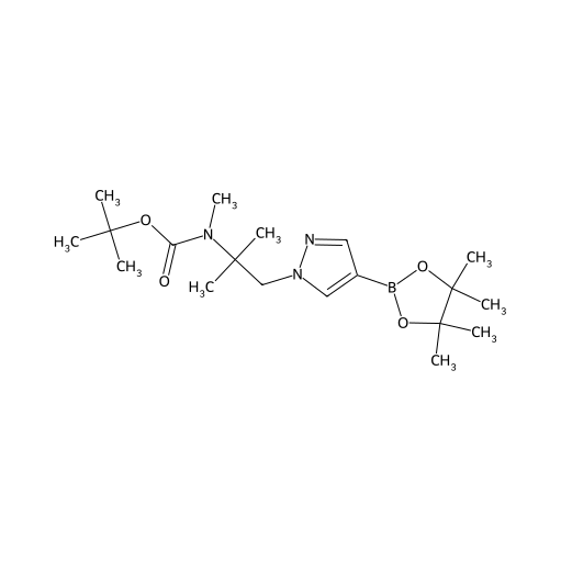 CN(C(=O)OC(C)(C)C)C(C)(C)Cn1cc(B2OC(C)(C)C(C)(C)O2)cn1